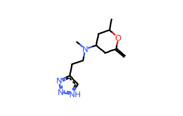 C=C1CC(N(C)CCc2c[nH]nn2)CC(C)O1